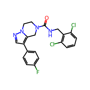 O=C(NCc1c(Cl)cccc1Cl)N1CCn2ncc(-c3ccc(F)cc3)c2C1